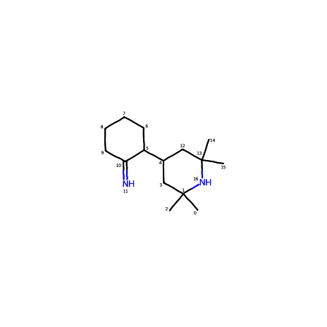 CC1(C)CC(C2CCCCC2=N)CC(C)(C)N1